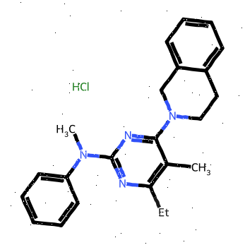 CCc1nc(N(C)c2ccccc2)nc(N2CCc3ccccc3C2)c1C.Cl